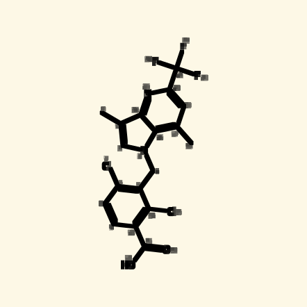 Cc1cn(Cc2c(Cl)ccc(C(=O)O)c2Cl)c2c(C)cc(C(F)(F)F)nc12